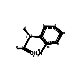 CC(=O)N(C)c1ccccc1N